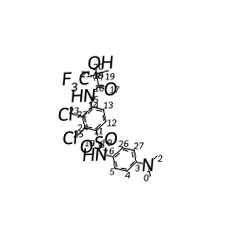 CN(C)c1ccc(NS(=O)(=O)c2ccc(NC(=O)[C@@](C)(O)C(F)(F)F)c(Cl)c2Cl)cc1